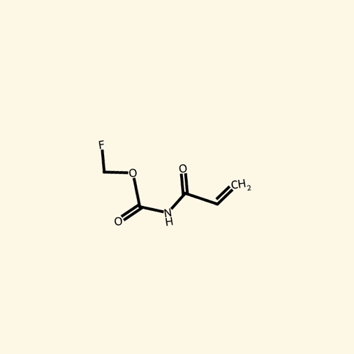 C=CC(=O)NC(=O)OCF